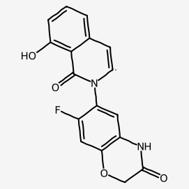 O=C1COc2cc(F)c(-n3[c]cc4cccc(O)c4c3=O)cc2N1